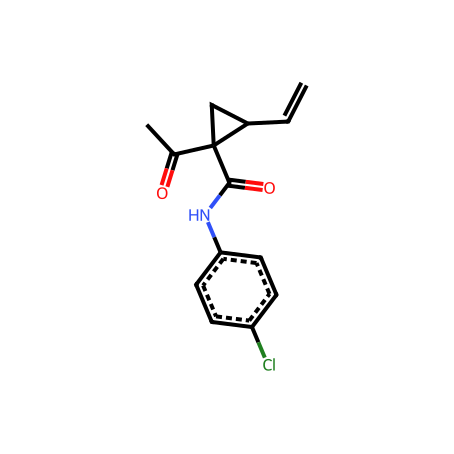 C=CC1CC1(C(C)=O)C(=O)Nc1ccc(Cl)cc1